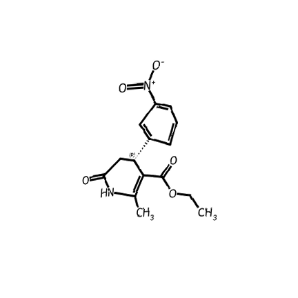 CCOC(=O)C1=C(C)NC(=O)C[C@@H]1c1cccc([N+](=O)[O-])c1